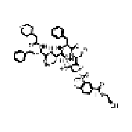 C#CCNC(=O)c1ccc(F)c(S(=O)(=O)OC[C@@](C)(O)C(=O)[C@H](CC(C)C)NC(=O)[C@H](Cc2ccccc2)NC(=O)[C@H](CC(C)C)NC(=O)[C@H](CCc2ccccc2)NC(=O)CC2CCOCC2)c1